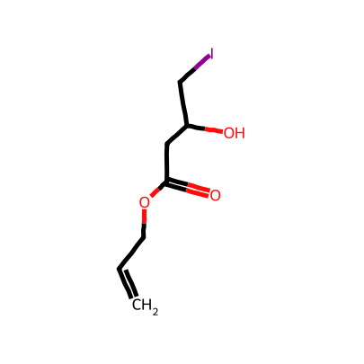 C=CCOC(=O)CC(O)CI